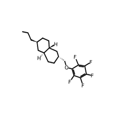 CCC[C@H]1CC[C@@H]2C[C@H](COc3c(F)c(F)c(F)c(F)c3F)CC[C@H]2C1